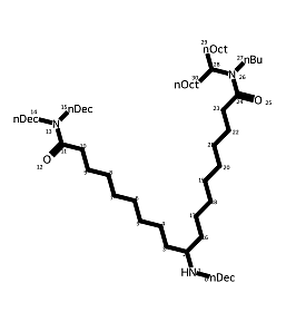 CCCCCCCCCCNC(CCCCCCCCC(=O)N(CCCCCCCCCC)CCCCCCCCCC)CCCCCCCCC(=O)N(CCCC)C(CCCCCCCC)CCCCCCCC